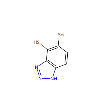 Sc1ccc2[nH]nnc2c1S